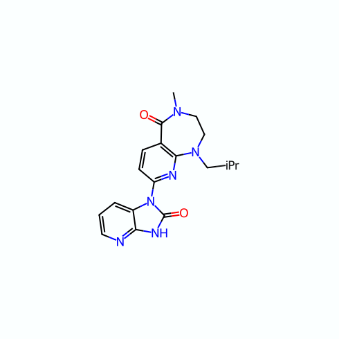 CC(C)CN1CCN(C)C(=O)c2ccc(-n3c(=O)[nH]c4ncccc43)nc21